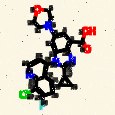 O=C(O)c1cc(N2CCOCC2)cc2c1nc(C1CC1)n2-c1ccnc2c(Cl)c(F)ccc12